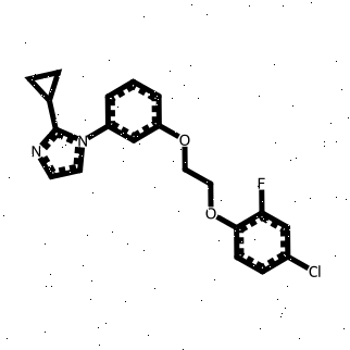 Fc1cc(Cl)ccc1OCCOc1cccc(-n2ccnc2C2CC2)c1